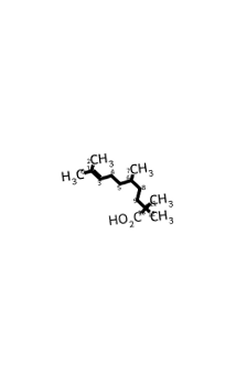 CC(C)=CCCC(C)CCC(C)(C)C(=O)O